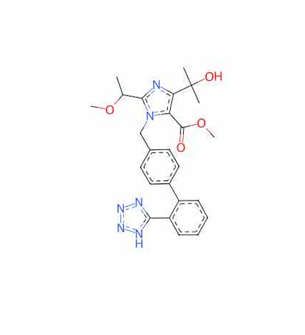 COC(=O)c1c(C(C)(C)O)nc(C(C)OC)n1Cc1ccc(-c2ccccc2-c2nnn[nH]2)cc1